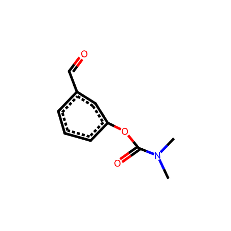 CN(C)C(=O)Oc1cccc(C=O)c1